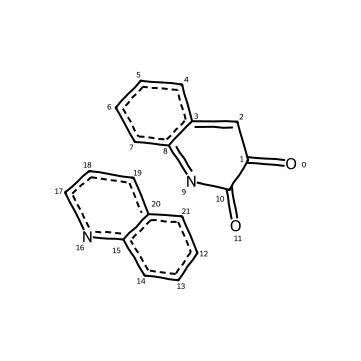 O=C1C=c2ccccc2=NC1=O.c1ccc2ncccc2c1